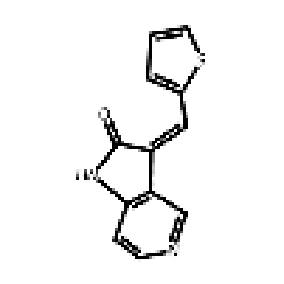 O=C1Nc2ccncc2C1=Cc1cccs1